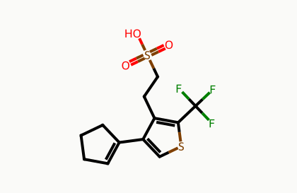 O=S(=O)(O)CCc1c(C2=CCCC2)csc1C(F)(F)F